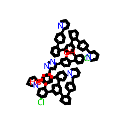 Oc1cc(-c2cc(-c3ccc(-c4ccc(Cl)cc4-c4cc(-c5ccccc5-c5ccc(-c6ccccn6)cc5)cc(-c5ccccc5-c5ccc(-c6ccccn6)cc5)c4)c(O)c3)ncn2)ccc1-c1ccc(Cl)cc1-c1cc(-c2ccccc2-c2ccc(-c3ccccn3)cc2)cc(-c2ccccc2-c2ccc(-c3ccccn3)cc2)c1